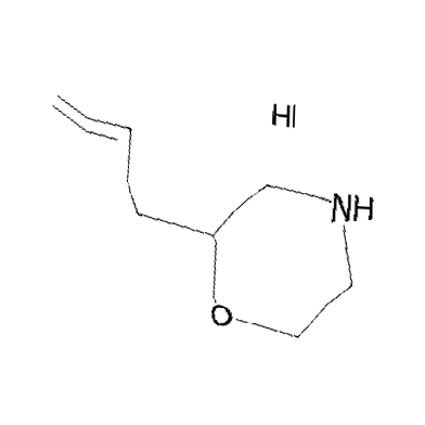 C=CCC1CNCCO1.I